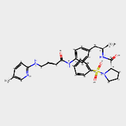 Cc1ccc(NCCCC(=O)Nc2ccc(C[C@H](NC(=O)[C@@H]3CCCN3S(=O)(=O)c3ccccc3)C(=O)O)cc2)nc1